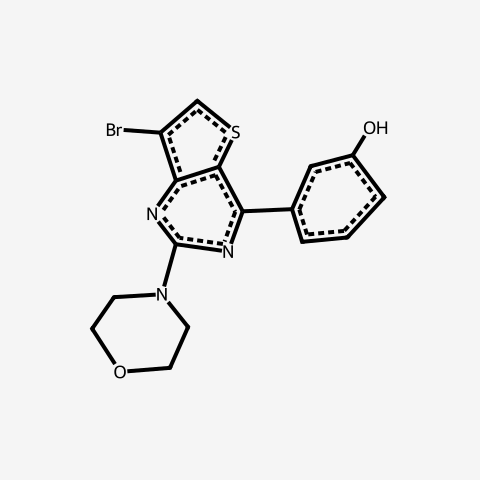 Oc1cccc(-c2nc(N3CCOCC3)nc3c(Br)csc23)c1